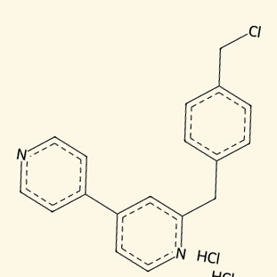 Cl.Cl.ClCc1ccc(Cc2cc(-c3ccncc3)ccn2)cc1